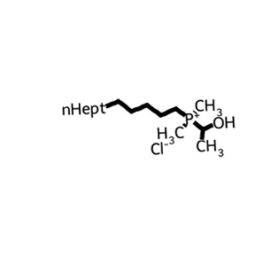 CCCCCCCCCCCC[P+](C)(C)C(C)O.[Cl-]